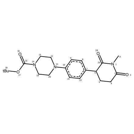 CN1C(=O)CCC(c2ccc(N3CCN(C(=O)OC(C)(C)C)CC3)cc2)C1=O